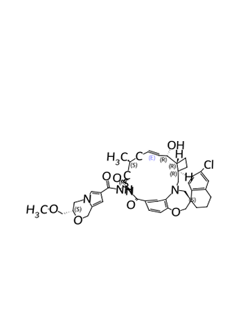 COC[C@@H]1Cn2cc(C(=O)N[S@@]3(=O)=NC(=O)c4ccc5c(c4)N(C[C@@H]4CC[C@H]4[C@@H](O)/C=C/C[C@H](C)C3)C[C@@]3(CCCc4cc(Cl)ccc43)CO5)cc2CO1